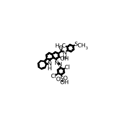 CSc1ccc(NC(=O)c2cc3ccc4c5c([nH]c4c3c(N=Nc3cc(Cl)c(S(=O)(=O)O)cc3Cl)c2O)C=CC=CC5)c(C)c1